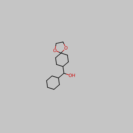 OC(C1CCCCC1)C1CCC2(CC1)OCCO2